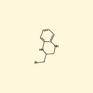 CC(C)CC1CNc2ccccc2N1